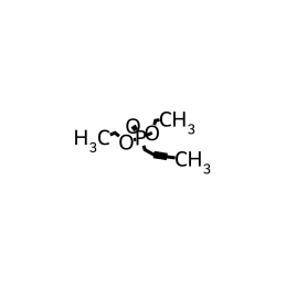 CC#CCP(=O)(OCC)OCC